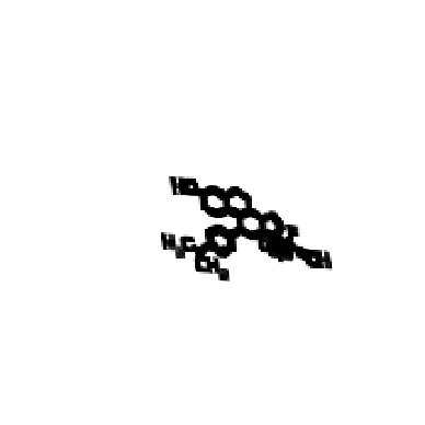 C#CC(F)(F)[C@]1(O)CCC2C3CCC4=CC(O)CCC4=C3C(c3ccc(C(=C)C)cc3)C[C@@]21C